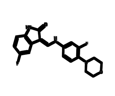 O=C1Nc2ccc(F)cc2C1=CNc1ccc(N2CCOCC2)c(F)c1